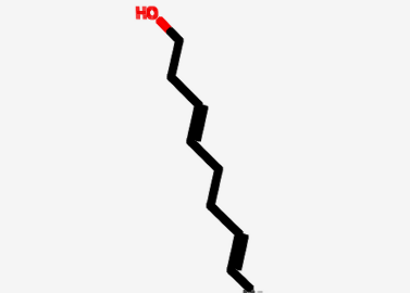 [13CH3]C=CCCC=CCCO